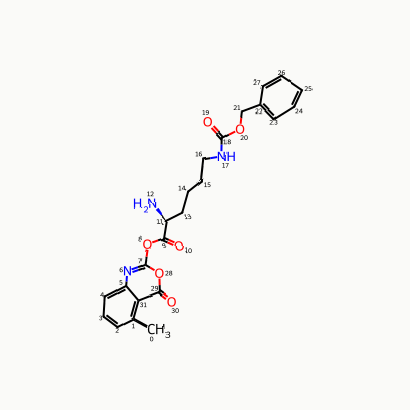 Cc1cccc2nc(OC(=O)[C@@H](N)CCCCNC(=O)OCc3ccccc3)oc(=O)c12